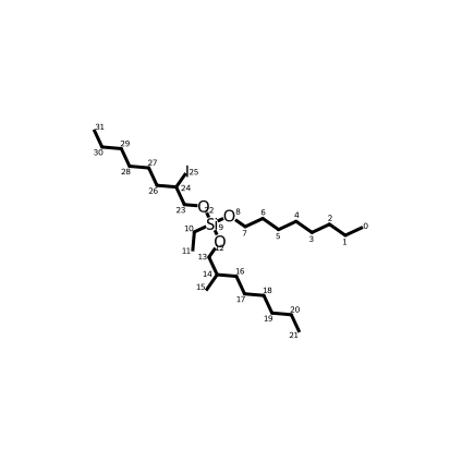 CCCCCCCCO[Si](CC)(OCC(C)CCCCCC)OCC(I)CCCCCC